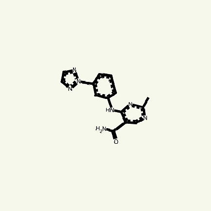 Cc1ncc(C(N)=O)c(Nc2cccc(-n3nccn3)c2)n1